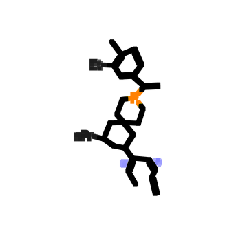 C=C/C=C\C(=C/C)C1CC(CCC)CC2(CCP(C(=C)c3ccc(C)c(CC)c3)CC2)C1